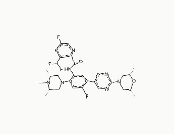 C[C@@H]1CN(c2ncc(-c3cc(NC(=O)c4ncc(F)cc4C(F)F)c(N4C[C@@H](C)N(C)[C@@H](C)C4)cc3F)cn2)C[C@H](C)O1